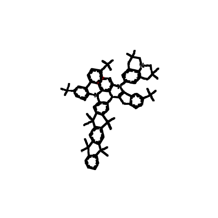 Cc1cc2c3c(c1)N(c1ccc(C(C)(C)C)cc1-c1ccc(C(C)(C)C)cc1)c1cc4c(cc1C3C1=C(c3cc(C(C)(C)C)ccc3C1)N2c1cc2c3c(c1)CC(C)(C)CN3CC(C)(C)C2)C(C)(C)c1cc2c(cc1C4(C)C)C(C)(C)c1ccccc1C2(C)C